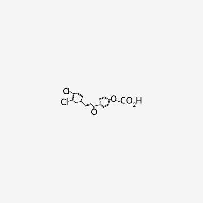 O=C(O)COc1ccc(C(=O)C=CC2C=CC(Cl)=C(Cl)C2)cc1